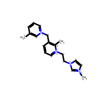 Cc1ccc[n+](Cc2ccc[n+](CCn3cc[n+](C)c3)c2C)c1